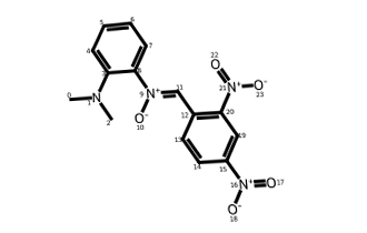 CN(C)c1ccccc1[N+]([O-])=Cc1ccc([N+](=O)[O-])cc1[N+](=O)[O-]